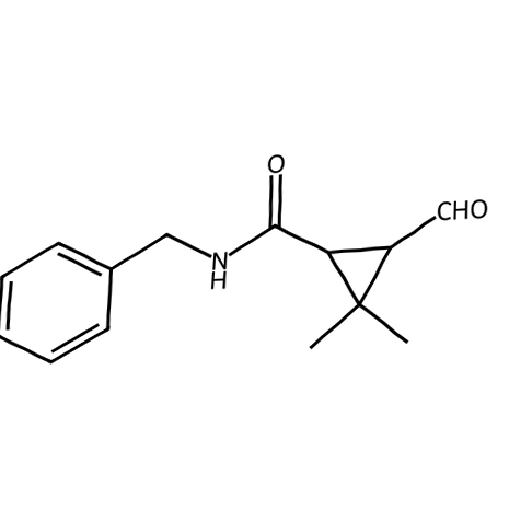 CC1(C)C(C=O)C1C(=O)NCc1ccccc1